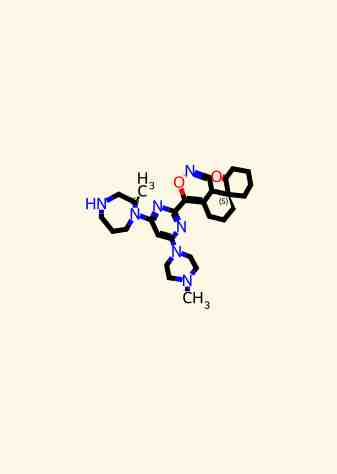 C[C@H]1CNCCCN1c1cc(N2CCN(C)CC2)nc(C2=C3CCC[C@@]4(CCCCC4=O)C3C=NO2)n1